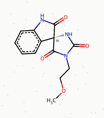 COCCN1C(=O)N[C@]2(C(=O)Nc3ccccc32)C1=O